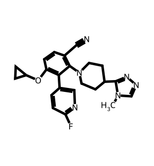 Cn1cnnc1C1CCN(c2c(C#N)ccc(OC3CC3)c2-c2ccc(F)nc2)CC1